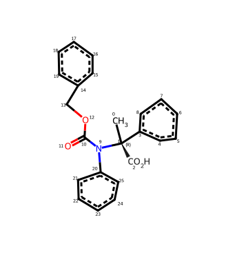 C[C@](C(=O)O)(c1ccccc1)N(C(=O)OCc1ccccc1)c1ccccc1